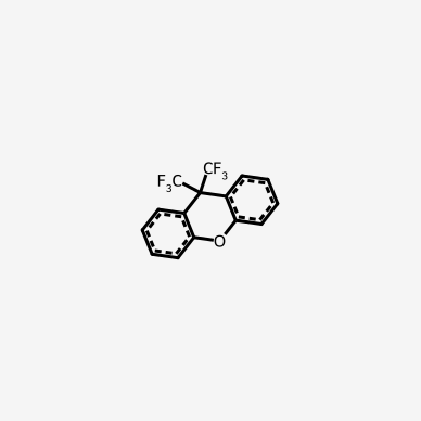 FC(F)(F)C1(C(F)(F)F)c2ccccc2Oc2ccccc21